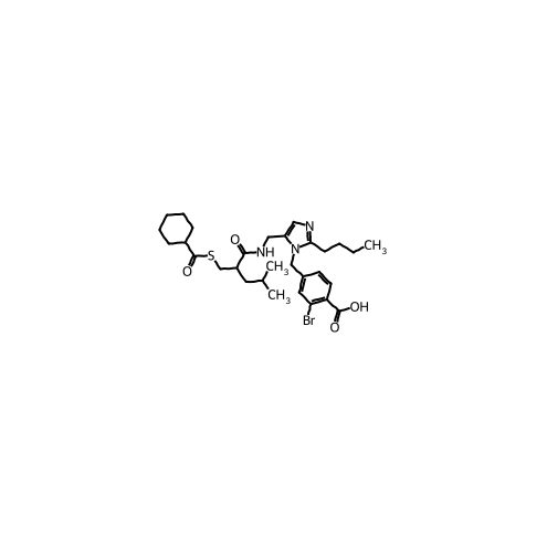 CCCCc1ncc(CNC(=O)C(CSC(=O)C2CCCCC2)CC(C)C)n1Cc1ccc(C(=O)O)c(Br)c1